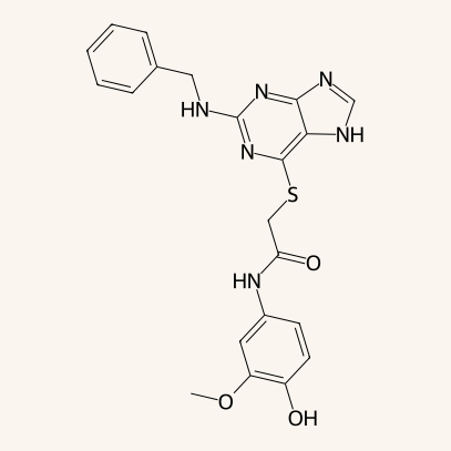 COc1cc(NC(=O)CSc2nc(NCc3ccccc3)nc3nc[nH]c23)ccc1O